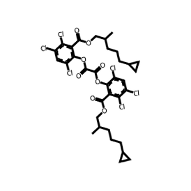 CC(CCCC1CC1)COC(=O)c1c(Cl)c(Cl)cc(Cl)c1OC(=O)C(=O)Oc1c(Cl)cc(Cl)c(Cl)c1C(=O)OCC(C)CCCC1CC1